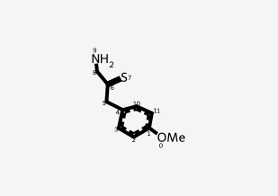 COc1ccc(CC(=S)CN)cc1